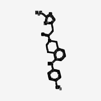 Cc1nc(CC(=O)N2CCc3c(cccc3Nc3ccc(C(F)(F)F)cc3)C2)co1